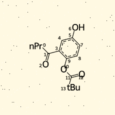 CCCC(=O)c1cc(O)ccc1OC(=O)C(C)(C)C